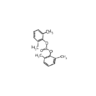 Cc1cccc(C)c1OS(=O)Oc1c(C)cccc1C